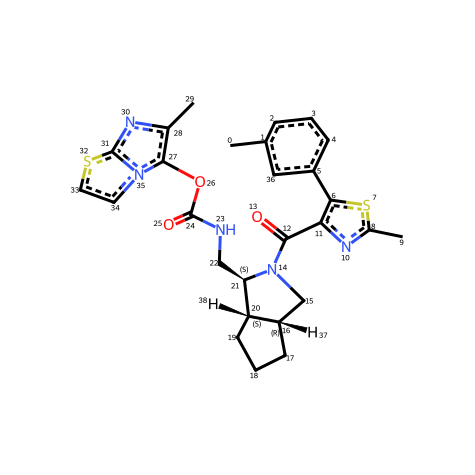 Cc1cccc(-c2sc(C)nc2C(=O)N2C[C@@H]3CCC[C@@H]3[C@H]2CNC(=O)Oc2c(C)nc3sccn23)c1